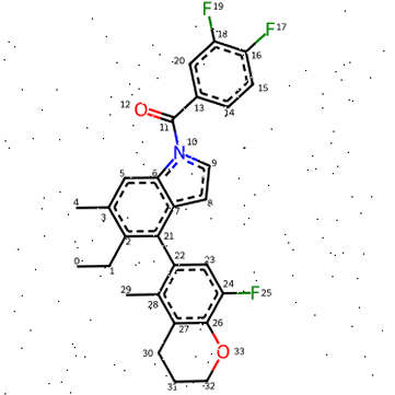 CCc1c(C)cc2c(ccn2C(=O)c2ccc(F)c(F)c2)c1-c1cc(F)c2c(c1C)CCCO2